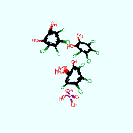 O=P(O)(O)O.Oc1c(O)c(Cl)c(Cl)c(Cl)c1Cl.Oc1c(O)c(Cl)c(Cl)c(Cl)c1Cl.Oc1c(O)c(Cl)c(Cl)c(Cl)c1Cl